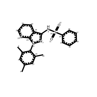 Cc1cc(C)c(-n2nc(NS(=O)(=O)c3ccccc3)c3cccnc32)c(C)c1